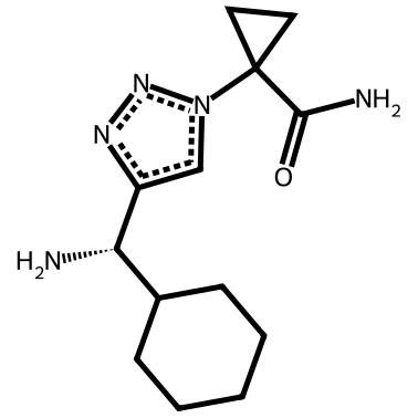 NC(=O)C1(n2cc([C@@H](N)C3CCCCC3)nn2)CC1